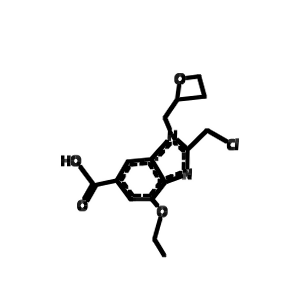 CCOc1cc(C(=O)O)cc2c1nc(CCl)n2CC1CCO1